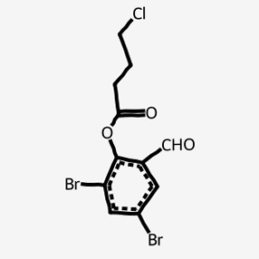 O=Cc1cc(Br)cc(Br)c1OC(=O)CCCCl